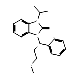 CNCC[C@H](c1ccccc1)n1c(=O)n(C(C)C)c2ccccc21